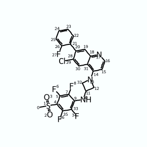 CS(=O)(=O)c1c(F)c(F)c(NC2CN(c3ccnc4cc(-c5ccccc5F)c(Cl)cc34)C2)c(F)c1F